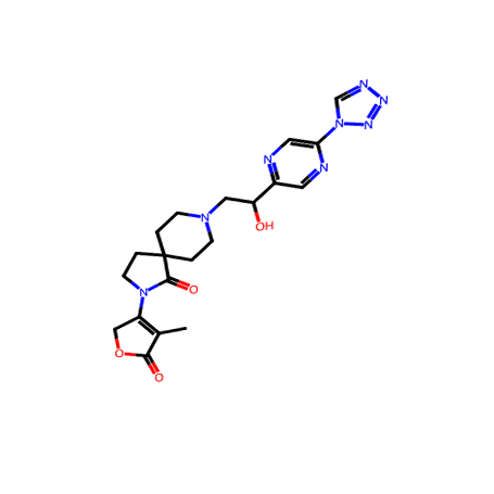 CC1=C(N2CCC3(CCN(CC(O)c4cnc(-n5cnnn5)cn4)CC3)C2=O)COC1=O